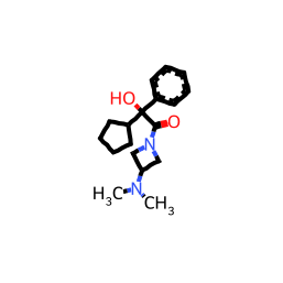 CN(C)C1CN(C(=O)C(O)(c2ccccc2)C2CCCC2)C1